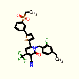 CCc1ccc(Cn2c(-c3ccc(-c4cccc(S(=O)(=O)CC)c4)s3)cc(C(F)(F)F)c(C#N)c2=O)c(F)c1